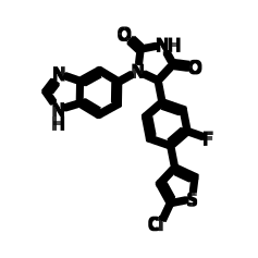 O=C1NC(=O)N(c2ccc3[nH]cnc3c2)C1c1ccc(-c2csc(Cl)c2)c(F)c1